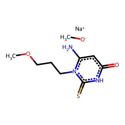 COCCCn1c(N)cc(=O)[nH]c1=S.C[O-].[Na+]